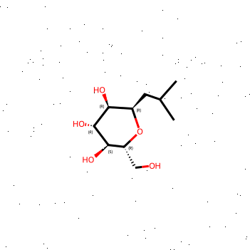 CC(C)C[C@H]1O[C@H](CO)[C@@H](O)[C@H](O)[C@H]1O